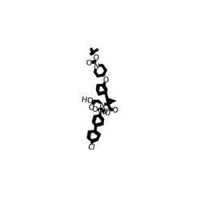 CC(C)(C)OC(=O)N1CCC(Oc2cccc(C3CC3(C(=O)O)N(CC(=O)O)S(=O)(=O)c3ccc(-c4ccc(Cl)cc4)cc3)c2)CC1